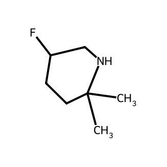 CC1(C)CCC(F)CN1